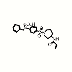 C=CC(=O)NC1CCCN(S(=O)(=O)c2ccc(N(Cc3ccccc3)C(=O)O)cc2)CC1